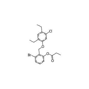 CCC(=O)Oc1cccc(Br)c1COc1cc(Cl)c(CC)cc1CC